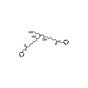 O=C(CCCCCC(O)CN(CCCO)CC(O)CCCCCC(=O)OCc1ccccc1)OCc1ccccc1